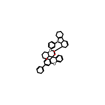 C1=CC(c2ccc3c(c2)Oc2ccccc2C32C3C=CC(C4CC=CC5C6=C(CCCC6)N(c6ccccc6)C54)=CC3OC3CCCCC32)=CCC1